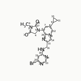 CN1C(=O)CN(c2cc(C3CC3)cn3cc(CNc4cc(Br)ncn4)nc23)C1=O